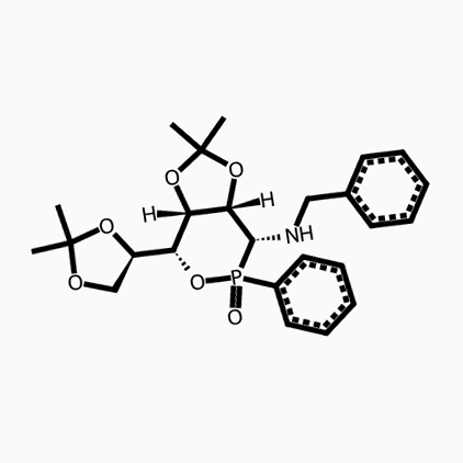 CC1(C)O[C@H]2[C@@H]([C@H]3COC(C)(C)O3)OP(=O)(c3ccccc3)[C@@H](NCc3ccccc3)[C@H]2O1